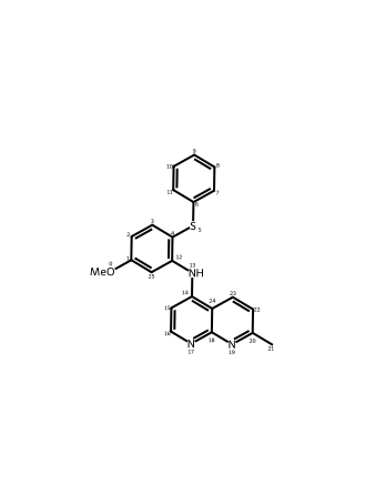 COc1ccc(Sc2ccccc2)c(Nc2ccnc3nc(C)ccc23)c1